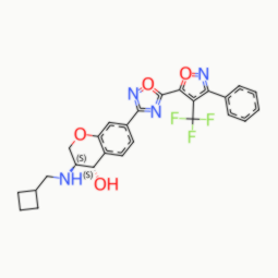 O[C@H]1c2ccc(-c3noc(-c4onc(-c5ccccc5)c4C(F)(F)F)n3)cc2OC[C@@H]1NCC1CCC1